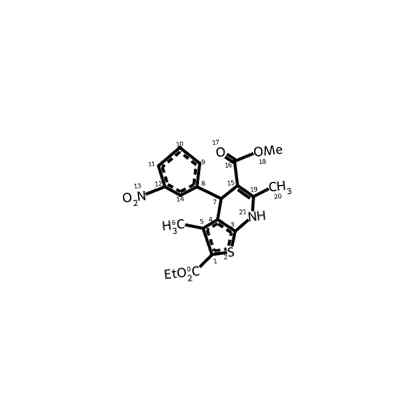 CCOC(=O)c1sc2c(c1C)C(c1cccc([N+](=O)[O-])c1)C(C(=O)OC)=C(C)N2